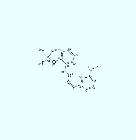 COc1cccc(/[C]=N\OCc2ccccc2OC(F)(F)F)c1